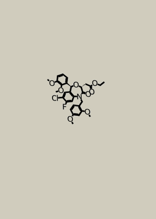 CCOC(=O)C[C@H]1O[C@H](c2cccc(OC)c2OC)c2cc(Cl)c(F)cc2N(Cc2ccc(OC)cc2OC)C1=O